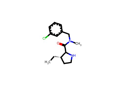 CC[C@H]1CCNC1C(=O)N(C)Cc1cccc(Cl)c1